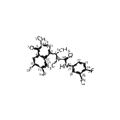 C[C@H](c1nn(C)c(=O)c2cc(F)c(F)cc12)N(C)C(=O)Nc1ccc(F)c(Cl)c1